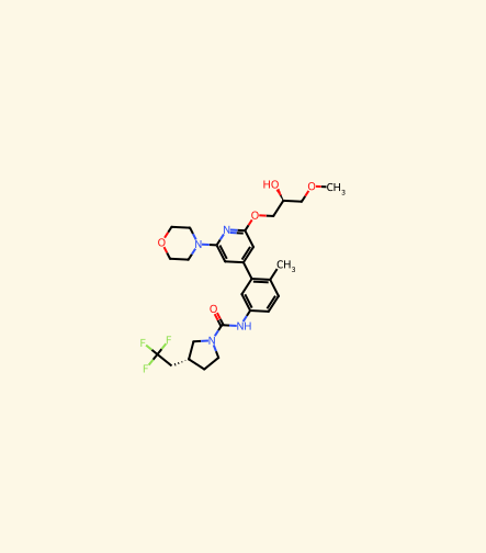 COC[C@H](O)COc1cc(-c2cc(NC(=O)N3CC[C@H](CC(F)(F)F)C3)ccc2C)cc(N2CCOCC2)n1